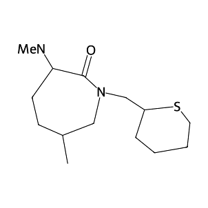 CNC1CCC(C)CN(CC2CCCCS2)C1=O